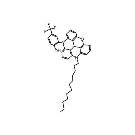 CCCCCCCCCCCCN1c2cccc3c2C2c4c(cccc4N(c4cc(C(F)(F)F)ccc4O)c4cccc1c42)O3